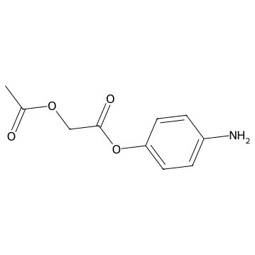 CC(=O)OCC(=O)Oc1ccc(N)cc1